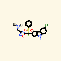 CCN(CC)Cc1noc(C(F)(C2Cc3[nH]c4ccc(Cl)cc4c3C2)S(=O)(=O)c2ccccc2)n1